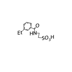 CCc1cccc(C(=O)NCCS(=O)(=O)O)c1